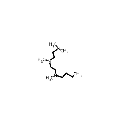 CCCCN(C)CCN(C)CCN(C)C